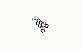 FC(F)(F)c1ccc2cc3c4c(ccc5ccc1c2c54)B(c1ccccc1)c1ccccc1O3